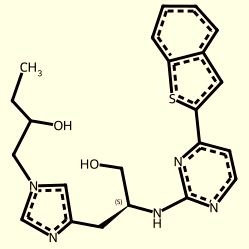 CCC(O)Cn1cnc(C[C@@H](CO)Nc2nccc(-c3cc4ccccc4s3)n2)c1